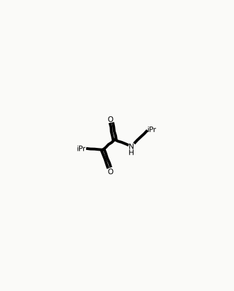 CC(C)NC(=O)C(=O)C(C)C